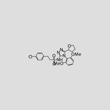 COc1cccc(OC)c1-n1c(NS(=O)(=O)CCc2ccc(Cl)cc2)nnc1C1CCCO1